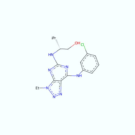 CCn1nnc2c(Nc3cccc(Cl)c3)nc(N[C@@H](CO)C(C)C)nc21